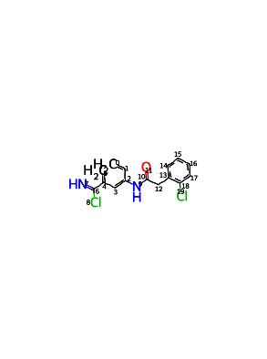 C=C/C(=C\C(=C)C(=N)Cl)NC(=O)Cc1ccccc1Cl